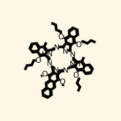 CCCCOc1c2c(c(OCCCC)c3ccccc13)-c1nc-2nc2[nH]c(nc3nc(nc4[nH]c(n1)c1c(C)c5ccccc5c(OCCCC)c41)-c1c-3c(OC)c3cc4ccccc4cc3c1OC)c1c(OCCCC)c3ccccc3c(C)c21